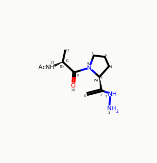 C=C(NN)[C@@H]1CCCN1C(=O)[C@H](C)NC(C)=O